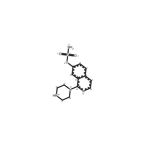 NS(=O)(=O)Oc1ccc2ccnc(N3CCNCC3)c2c1